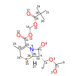 CC(=O)OC(C)[C@H]1C(=O)N2C(C(=O)OCOC(=O)C(C)(C)C)=C(C)CS[C@H]12